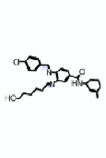 CC1=CC(NC(=O)c2ccc(/N=C/c3ccc(Cl)cc3)c(/N=C/CCCCCO)c2)CCC1